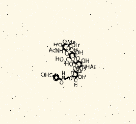 CO[C@@H]1C(CO)O[C@H](O[C@@H]2C(C(=O)O)O[C@@H](O[C@@H]3C(CO)O[C@H](O[C@@H]4C(C(=O)O)O[C@@H](OCCNC(=O)c5ccc(C=O)cc5)[C@@H](O)C4O)C(NC(C)=O)[C@H]3O)[C@@H](O)C2O)C(NC(C)=O)[C@H]1O